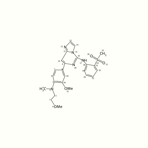 COCCN(C)c1ccc(-c2cc3nccn3c(Nc3ccccc3S(C)(=O)=O)n2)cc1OC